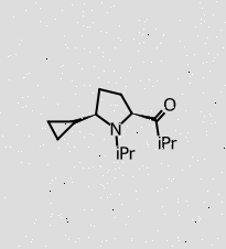 CC(C)C(=O)[C@@H]1CC[C@H](C2CC2)N1C(C)C